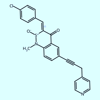 CN1c2ccc(C#CCc3ccncc3)cc2C(=O)/C(=C/c2ccc(Cl)cc2)[S+]1[O-]